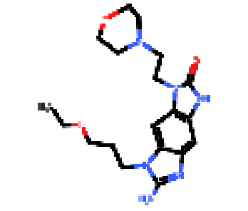 CCOCCCn1c(N)nc2cc3[nH]c(=O)n(CCN4CCOCC4)c3cc21